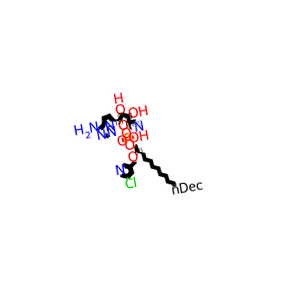 CCCCCCCCCCCCCCCCCCC[C@H](COP(=O)(O)OC[C@@]1(/C=N\C)O[C@@H](c2ccc3c(N)ncnn23)[C@H](O)[C@@H]1O)OCc1cncc(Cl)c1